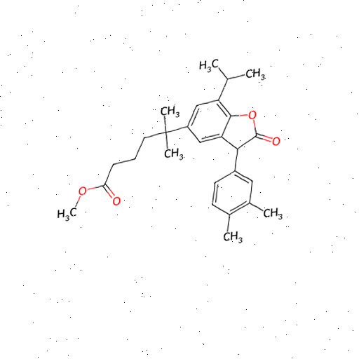 COC(=O)CCCC(C)(C)c1cc(C(C)C)c2c(c1)C(c1ccc(C)c(C)c1)C(=O)O2